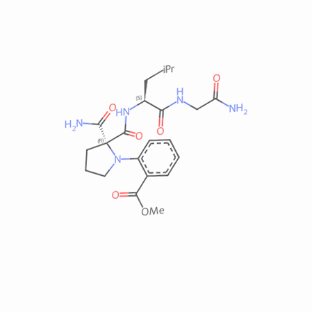 COC(=O)c1ccccc1N1CCC[C@@]1(C(N)=O)C(=O)N[C@@H](CC(C)C)C(=O)NCC(N)=O